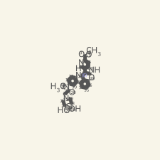 COC(=O)c1cc2c(cn1)/C(=C(\Nc1ccc(N(C)C(=O)CN3CCS(O)(O)CC3)cc1)c1ccccc1)C(=O)N2